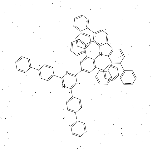 c1ccc(-c2ccc(-c3cc(-c4cc(-c5ccccc5)c(-n5c6c(-c7ccccc7)c(-c7ccccc7)ccc6c6ccc(-c7ccccc7)c(-c7ccccc7)c65)c(-c5ccccc5)c4)nc(-c4ccc(-c5ccccc5)cc4)n3)cc2)cc1